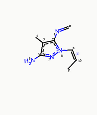 C=Nc1c(C)c(N)nn1/C=C\C